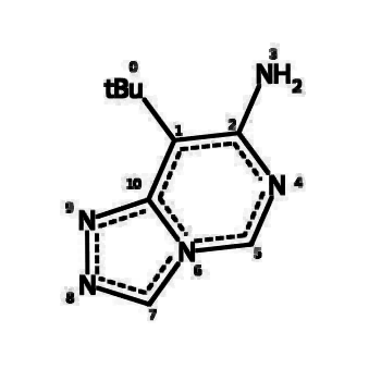 CC(C)(C)c1c(N)ncn2cnnc12